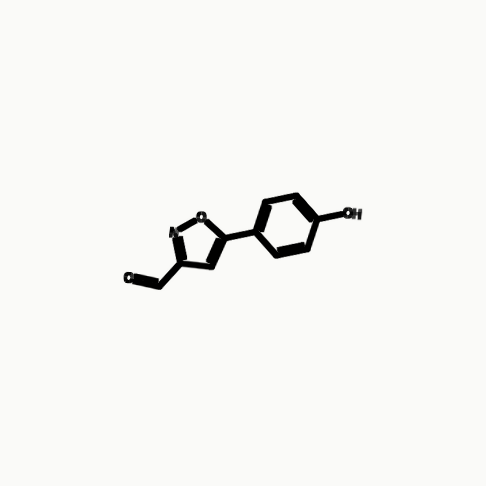 O=Cc1cc(-c2ccc(O)cc2)on1